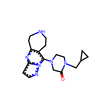 O=C1CN(c2c3c(nc4ccnn24)CCNCC3)CCN1CC1CC1